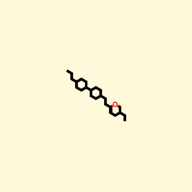 CCCC1CCC(C2CCC(CCC3=CCC(CC)CO3)CC2)CC1